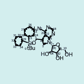 CC(C)(C)[Si](OCc1cn([C@@H]2O[C@H](CO)[C@@H](O)[C@H]2O)c2ncnc(N)c12)(c1ccccc1)c1ccccc1